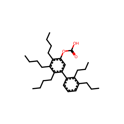 CCCCc1c(OC(=O)O)cc(-c2cccc(CCC)c2CCC)c(CCCC)c1CCCC